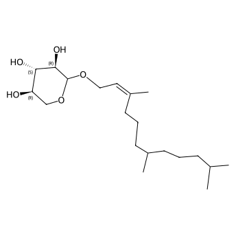 CC(=CCOC1OC[C@@H](O)[C@H](O)[C@H]1O)CCCC(C)CCCC(C)C